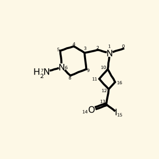 CN(CC1CCN(N)CC1)C1CC(C(=O)I)C1